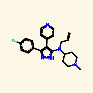 C=CCN(c1[nH]nc(-c2ccc(F)cc2)c1-c1ccncc1)C1CCN(C)CC1